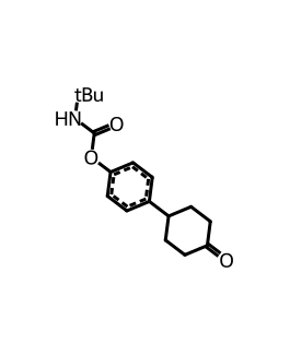 CC(C)(C)NC(=O)Oc1ccc(C2CCC(=O)CC2)cc1